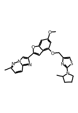 COc1cc(OCc2csc(N3CCCC3C)n2)c2cc(-c3cn4nc(C)ccc4n3)oc2c1